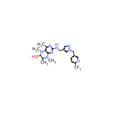 Cc1nc(NCc2cnn(Cc3ccc(C(F)(F)F)nc3)c2)nc2c1N(C)C(O)[C@H](C)N2C